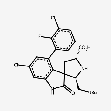 CC(C)(C)C[C@@H]1N[C@@H](C(=O)O)CC12C(=O)Nc1cc(Cl)cc(-c3cccc(Cl)c3F)c12